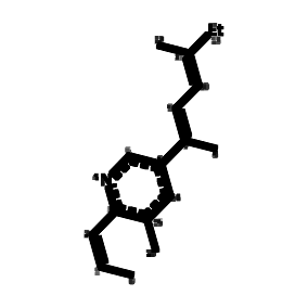 C/C=C\c1ncc(/C(C)=C/C=C(\C)CC)cc1C